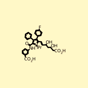 CC(C)n1c(C=CC(O)CC(O)CC(=O)O)c(-c2ccc(F)cc2)c(-c2ccccc2)c1C(=O)Nc1cccc(C(=O)O)c1